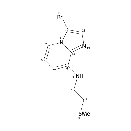 CSCCNc1cccn2c(Br)cnc12